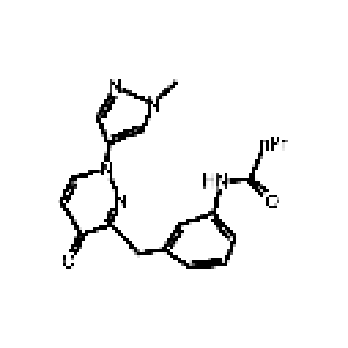 CCCC(=O)Nc1cccc(Cc2nn(-c3cnn(C)c3)ccc2=O)c1